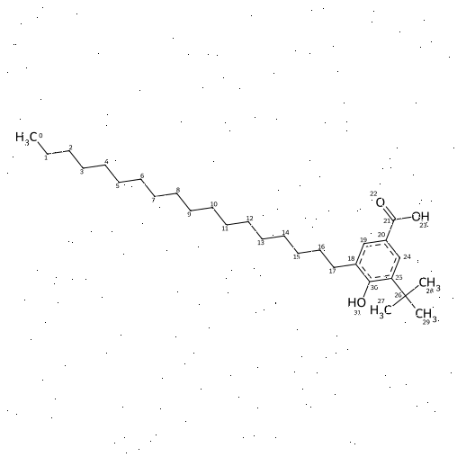 CCCCCCCCCCCCCCCCCCc1cc(C(=O)O)cc(C(C)(C)C)c1O